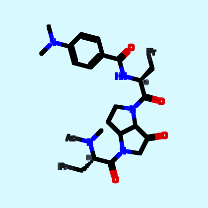 CC(=O)N(C)[C@@H](CC(C)C)C(=O)N1CC(=O)C2C1CCN2C(=O)[C@H](CC(C)C)NC(=O)c1ccc(N(C)C)cc1